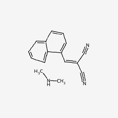 CNC.N#CC(C#N)=Cc1cccc2ccccc12